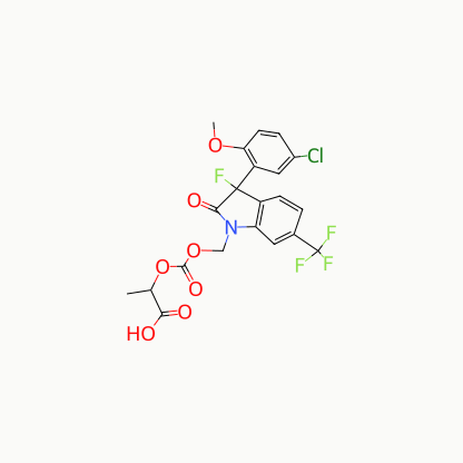 COc1ccc(Cl)cc1C1(F)C(=O)N(COC(=O)OC(C)C(=O)O)c2cc(C(F)(F)F)ccc21